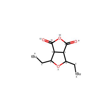 CC(C)(C)CC1OC(CC(C)(C)C)C2C(=O)OC(=O)C12